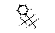 FC(F)(F)C(F)(c1c[c]ccn1)C(F)(F)F